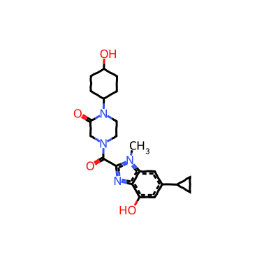 Cn1c(C(=O)N2CCN(C3CCC(O)CC3)C(=O)C2)nc2c(O)cc(C3CC3)cc21